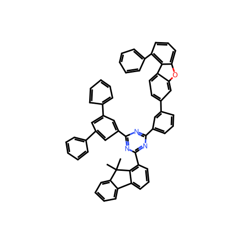 CC1(C)c2ccccc2-c2cccc(-c3nc(-c4cccc(-c5ccc6c(c5)oc5cccc(-c7ccccc7)c56)c4)nc(-c4cc(-c5ccccc5)cc(-c5ccccc5)c4)n3)c21